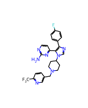 Nc1nccc(-c2c(-c3ccc(F)cc3)ncn2C2CCN(Cc3ccc(C(F)(F)F)nc3)CC2)n1